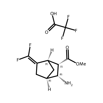 COC(=O)[C@@H]1[C@H](N)[C@H]2CC(=C(F)F)[C@@H]1C2.O=C(O)C(F)(F)F